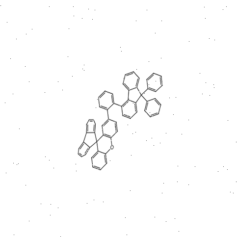 c1ccc(C2(c3ccccc3)c3ccccc3-c3c(-c4ccccc4-c4ccc5c(c4)C4(c6ccccc6O5)c5ccccc5-c5ccccc54)cccc32)cc1